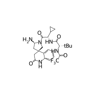 CC(C)(C)[C@H](NC(=O)C(F)(F)F)C(=O)N[C@H](C(=O)N1C[C@@]2(CC(=O)Nc3ccccc32)C[C@H]1N)C1CC1